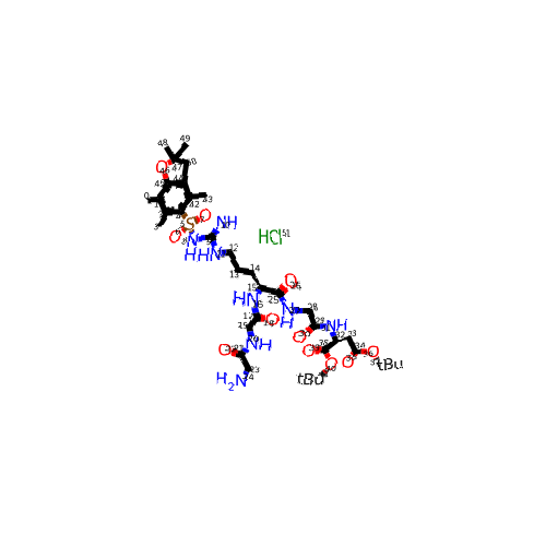 Cc1c(C)c(S(=O)(=O)NC(=N)NCCC[C@H](NC(=O)CNC(=O)CN)C(=O)NCC(=O)N[C@@H](CC(=O)OC(C)(C)C)C(=O)OC(C)(C)C)c(C)c2c1OC(C)(C)C2.Cl